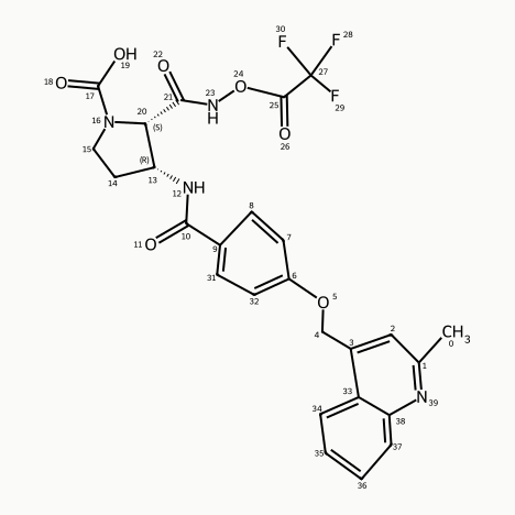 Cc1cc(COc2ccc(C(=O)N[C@@H]3CCN(C(=O)O)[C@@H]3C(=O)NOC(=O)C(F)(F)F)cc2)c2ccccc2n1